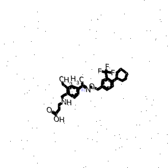 CCc1cc(/C(C)=N/OCc2ccc(C3CCCCC3)c(C(F)(F)F)c2)ccc1CNCCC(=O)O